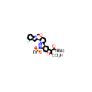 CCS(=O)(=O)Nc1cc2oc(C(=O)O)c(C(=O)NC)c2cc1-c1ccc2c(n1)-c1cc3c(F)cccc3n1CO2